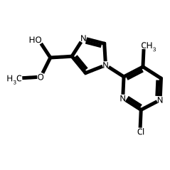 COC(O)c1cn(-c2nc(Cl)ncc2C)cn1